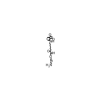 NCCOCCOCCNC(=O)CCCCCCNc1cccc2c1C(=O)CC2=O